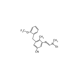 CCN(C)C=Nc1cc(C#N)cc(Cc2ccccc2OC(F)(F)F)c1C